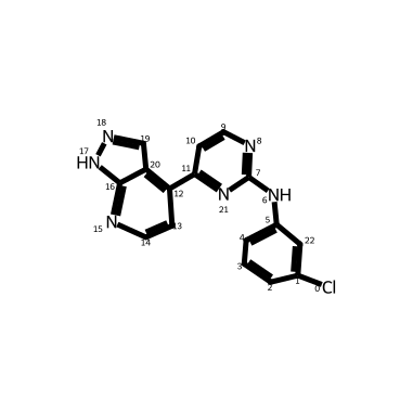 Clc1cccc(Nc2nccc(-c3ccnc4[nH]ncc34)n2)c1